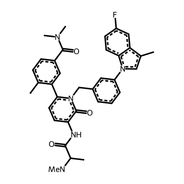 CNC(C)C(=O)Nc1ccc(-c2cc(C(=O)N(C)C)ccc2C)n(Cc2cccc(-n3cc(C)c4cc(F)ccc43)c2)c1=O